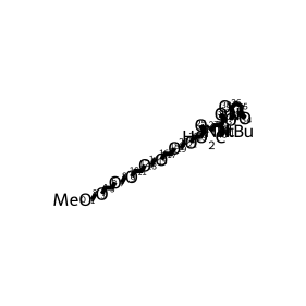 COCCOCCOCCOCCOCCOCCOCCOCCC(=O)NCC(C(=O)ON1C(=O)CCC1=O)N(C(=O)O)C(C)(C)C